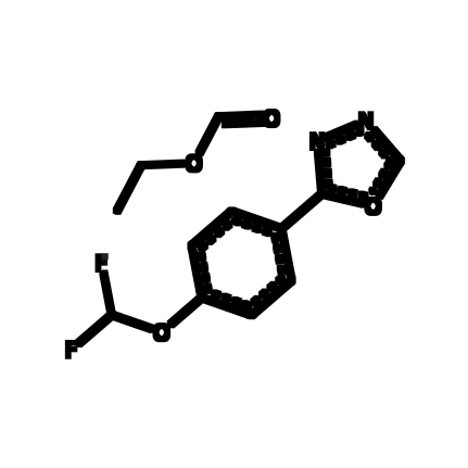 CCOC=O.FC(F)Oc1ccc(-c2nnco2)cc1